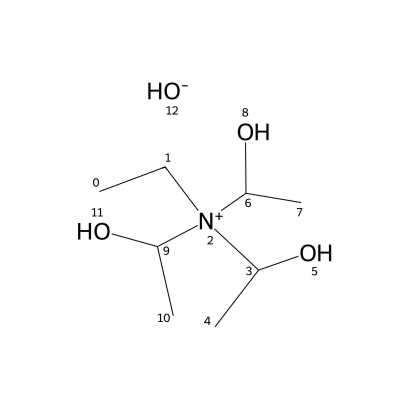 CC[N+](C(C)O)(C(C)O)C(C)O.[OH-]